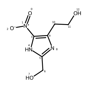 O=[N+]([O-])c1[nH]c(CO)nc1CCO